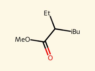 CCC(C)C(CC)C(=O)OC